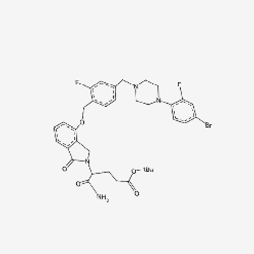 CC(C)(C)OC(=O)CCC(C(N)=O)N1Cc2c(OCc3ccc(CN4CCN(c5ccc(Br)cc5F)CC4)cc3F)cccc2C1=O